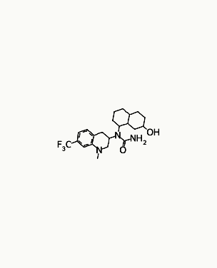 CN1CC(N(C(N)=O)C2CCCC3CCC(O)CC32)Cc2ccc(C(F)(F)F)cc21